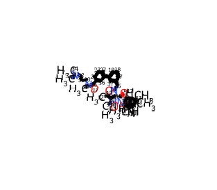 C[C@@H]1[C@@H](NC(=O)[C@@H]2[C@H]([C@H](C)O)[C@H](C)ON2Cc2cccc(-c3cccc(C(=O)N(C)CCCN(C)C)c3)c2)C[C@H]2C[C@@H]1C2(C)C